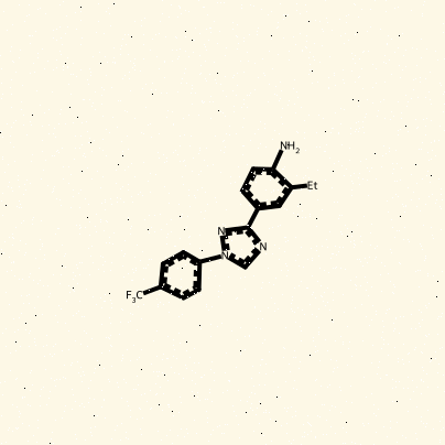 CCc1cc(-c2ncn(-c3ccc(C(F)(F)F)cc3)n2)ccc1N